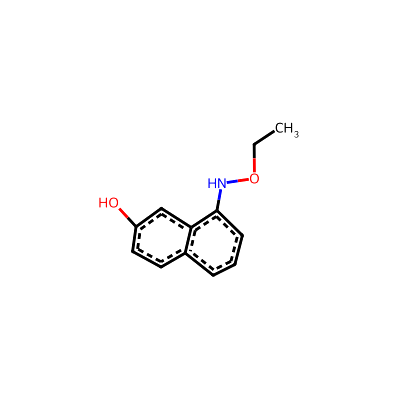 CCONc1cccc2ccc(O)cc12